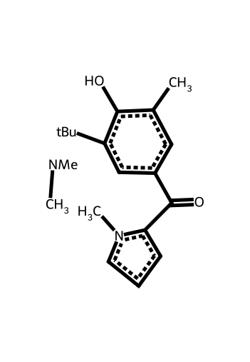 CNC.Cc1cc(C(=O)c2cccn2C)cc(C(C)(C)C)c1O